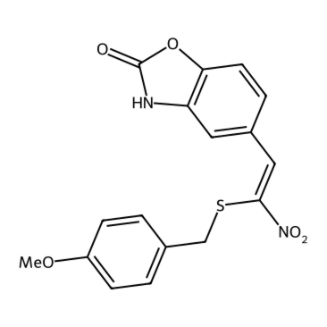 COc1ccc(CSC(=Cc2ccc3oc(=O)[nH]c3c2)[N+](=O)[O-])cc1